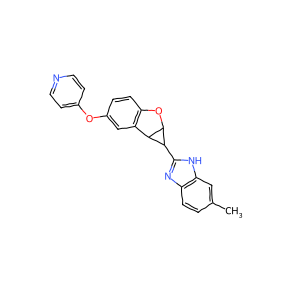 Cc1ccc2nc(C3C4Oc5ccc(Oc6ccncc6)cc5C43)[nH]c2c1